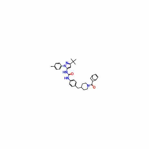 Cc1ccc(-n2nc(C(C)(C)C)cc2NC(=O)Nc2ccc(CC3CCN(C(=O)C4CC5C=CC4C5)CC3)cc2)cc1